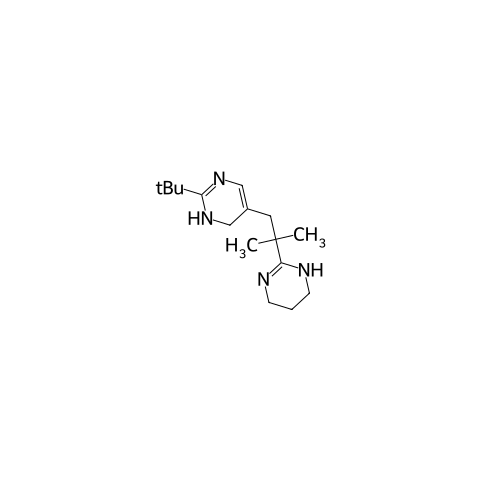 CC(C)(C)C1=NC=C(CC(C)(C)C2=NCCCN2)CN1